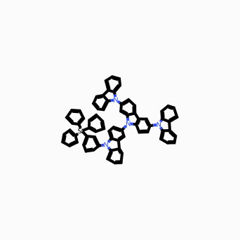 c1ccc([Si](c2ccccc2)(c2ccccc2)c2cccc(-n3c4ccccc4c4cc(-n5c6ccc(-n7c8ccccc8c8ccccc87)cc6c6ccc(-n7c8ccccc8c8ccccc87)cc65)ccc43)c2)cc1